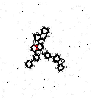 c1ccc(-c2ccc(N(c3ccc(-c4ccc5oc6ccccc6c5c4)cc3)c3ccc(-c4cccc5c4ccc4ccccc45)cc3)c(-c3ccccc3)c2)cc1